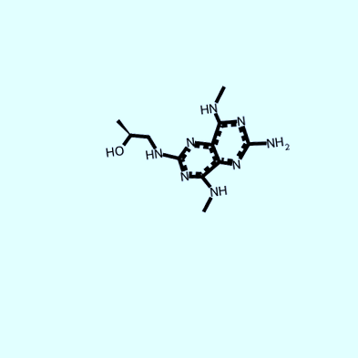 CNc1nc(NC[C@H](C)O)nc2c(NC)nc(N)nc12